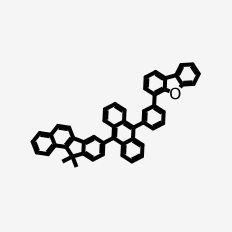 CC1(C)c2ccc(-c3c4ccccc4c(-c4cccc(-c5cccc6c5oc5ccccc56)c4)c4ccccc34)cc2-c2ccc3ccccc3c21